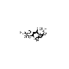 O=C(O)C1=CC(OS(=O)(=O)C(F)(F)F)S[C@@H]2CC(=O)N12